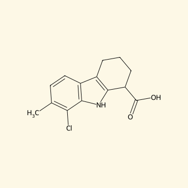 Cc1ccc2c3c([nH]c2c1Cl)C(C(=O)O)CCC3